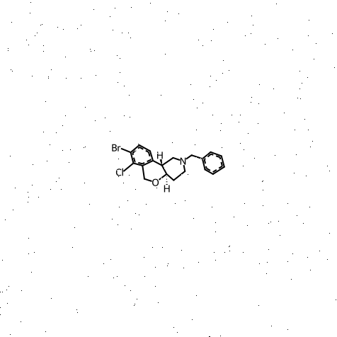 Clc1c(Br)ccc2c1CO[C@@H]1CCN(Cc3ccccc3)C[C@@H]21